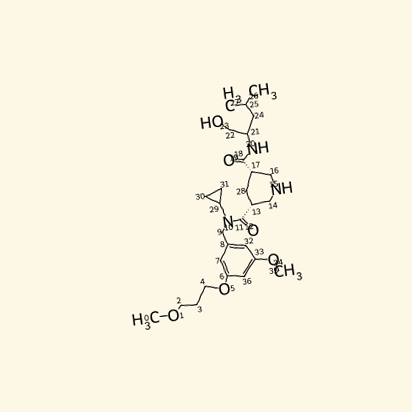 COCCCOc1cc(CN(C(=O)[C@H]2CNC[C@@H](C(=O)NC(CO)CC(C)C)C2)C2CC2)cc(OC)c1